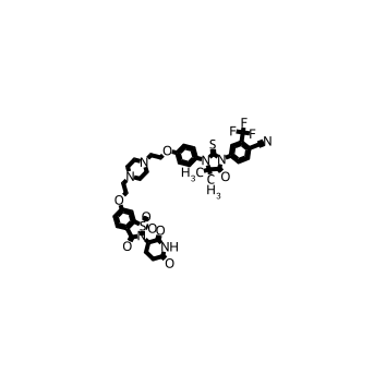 CC1(C)C(=O)N(c2ccc(C#N)c(C(F)(F)F)c2)C(=S)N1c1ccc(OCCN2CCN(CCOc3ccc4c(c3)S(=O)(=O)N(C3CCC(=O)NC3=O)C4=O)CC2)cc1